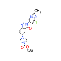 Cc1cn2cc(-n3cnc4ccc(N5CCN(C(=O)OC(C)(C)C)CC5)cc4c3=O)cc(F)c2n1